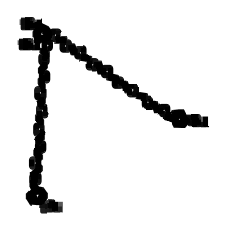 CC(C)(C)c1ccc(COCCOCCOCCOCCOCCOCCOCCOCCOc2cc(C(C)(C)C)cc(C(C)(C)C)c2OCCOCCOCCOCCOCCOCCOCCOCCOCc2ccc(C(C)(C)C)cc2)cc1